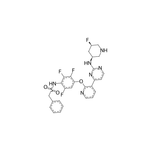 O=S(=O)(Cc1ccccc1)Nc1c(F)cc(Oc2ncccc2-c2ccnc(N[C@@H]3CNC[C@H](F)C3)n2)c(F)c1F